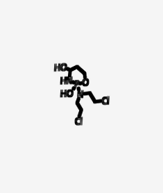 OC1CCO[P](O)(N(CCCl)CCCl)N1